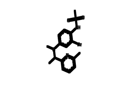 CC(=O)c1cc(N(C)C(C)c2cccc(C)n2)ccc1NS(C)(=O)=O